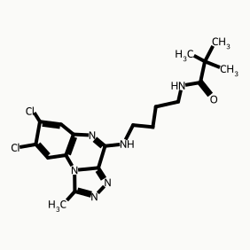 Cc1nnc2c(NCCCCNC(=O)C(C)(C)C)nc3cc(Cl)c(Cl)cc3n12